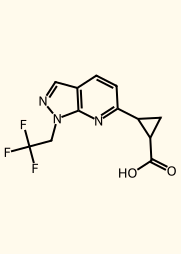 O=C(O)C1CC1c1ccc2cnn(CC(F)(F)F)c2n1